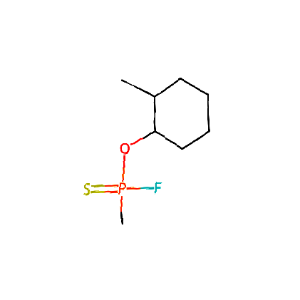 CC1CCCCC1OP(C)(F)=S